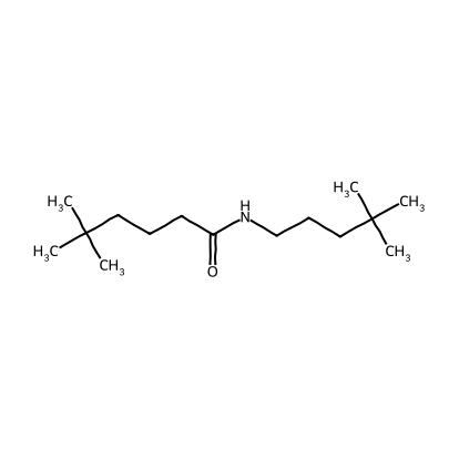 CC(C)(C)CCCNC(=O)CCCC(C)(C)C